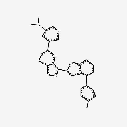 CN(C)c1cncc(-c2ccc3[nH]nc(-c4cc5c(-c6ccc(F)cc6)cccc5[nH]4)c3n2)c1